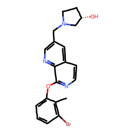 Cc1c(Br)cccc1Oc1nccc2cc(CN3CC[C@H](O)C3)cnc12